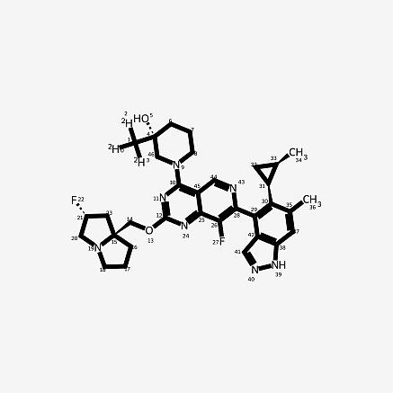 [2H]C([2H])([2H])[C@@]1(O)CCCN(c2nc(OC[C@@]34CCCN3C[C@H](F)C4)nc3c(F)c(-c4c([C@H]5C[C@H]5C)c(C)cc5[nH]ncc45)ncc23)C1